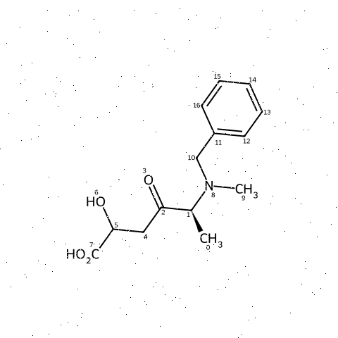 C[C@@H](C(=O)CC(O)C(=O)O)N(C)Cc1ccccc1